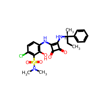 CC[C@](C)(Nc1c(Nc2ccc(Cl)c(S(=O)(=O)N(C)C)c2O)c(=O)c1=O)c1ccccc1